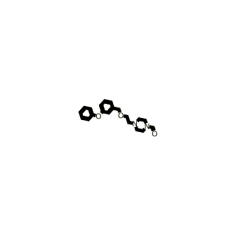 O=CN1CCN(CCOCc2cccc(Oc3ccccc3)c2)CC1